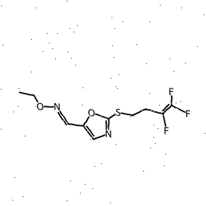 CCON=Cc1cnc(SCCC(F)=C(F)F)o1